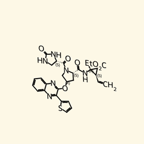 C=C[C@@H]1C[C@]1(NC(=O)[C@@H]1C[C@@H](Oc2nc3ccccc3nc2-c2cccs2)CN1C(=O)[C@@H]1CNC(=O)N1)C(=O)OCC